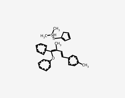 CC(C=Cc1ccc(C)cc1)=C(Oc1ccccc1)c1ccccc1.C[SiH](C)[Ti][C]1=CC=CC1